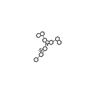 C[Si]1(C)c2cc(-c3ccccc3)ccc2-c2ccc(-n3c4ccc(-c5cccc6ccccc56)cc4c4cc(-c5cccc6ccccc56)ccc43)cc21